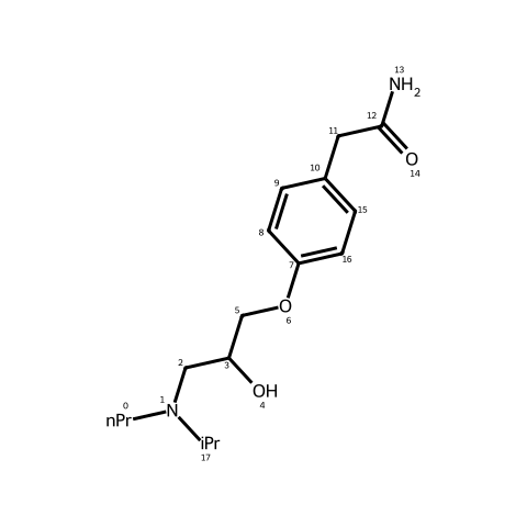 CCCN(CC(O)COc1ccc(CC(N)=O)cc1)C(C)C